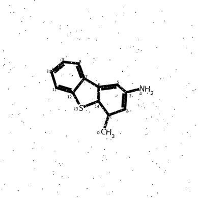 CC1C=C(N)C=C2c3ccccc3SC21